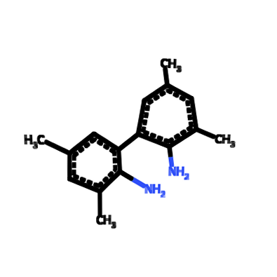 Cc1cc(C)c(N)c(-c2cc(C)cc(C)c2N)c1